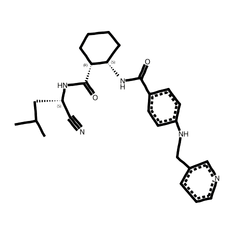 CC(C)C[C@@H](C#N)NC(=O)[C@@H]1CCCC[C@@H]1NC(=O)c1ccc(NCc2cccnc2)cc1